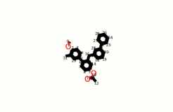 COc1ccc(-c2ccc(OC(C)=O)cc2Cc2cccc(-c3ccccc3)c2)cc1C